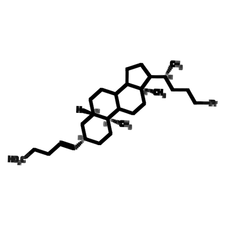 CC(C)CCC[C@@H](C)C1CCC2C3CC[C@H]4C[C@@H](C=CCCC(=O)O)CC[C@]4(C)C3CC[C@@]21C